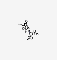 CCCCc1cc(=O)oc2nc(O/N=C3\CC(C(=O)OCC)C[C@@H](C(=O)OCC)C3)[nH]c(=O)c12